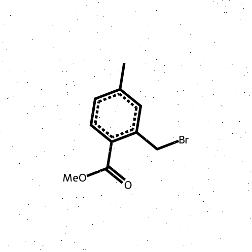 COC(=O)c1ccc(C)cc1CBr